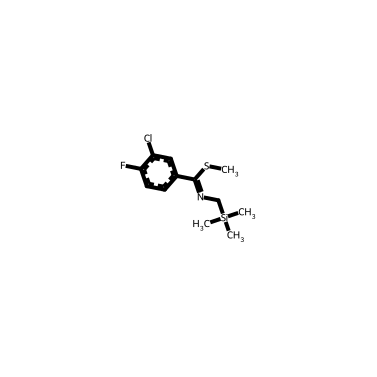 CSC(=NC[Si](C)(C)C)c1ccc(F)c(Cl)c1